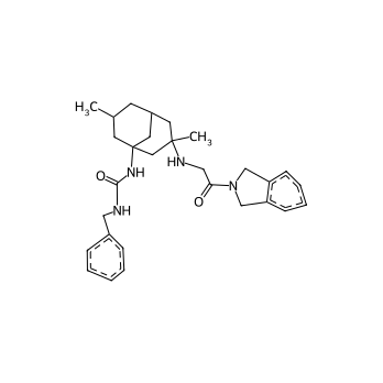 CC1CC2CC(C)(NCC(=O)N3Cc4ccccc4C3)CC(NC(=O)NCc3ccccc3)(C1)C2